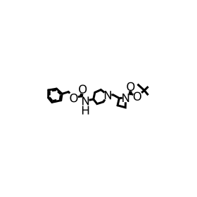 CC(C)(C)OC(=O)N1CCC1CN1CCC(NC(=O)OCc2ccccc2)CC1